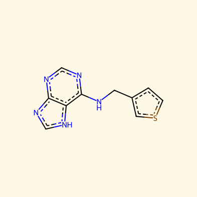 c1nc(NCc2ccsc2)c2[nH]cnc2n1